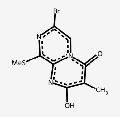 CSc1nc(Br)cn2c(=O)c(C)c(O)nc12